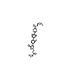 CC=CC(=O)N1CCN(c2ncc(-c3ccc(N4CC(CCC(N)=O)OC4=O)cc3F)cn2)CC1